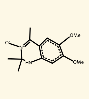 COc1cc2c(cc1OC)C(C)=[N+]([O-])C(C)(C)N2